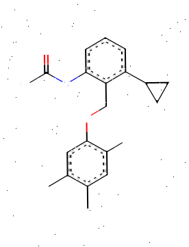 CCC(=O)Nc1cccc(C2CC2)c1COc1cc(C)c(C)cc1C(F)(F)F